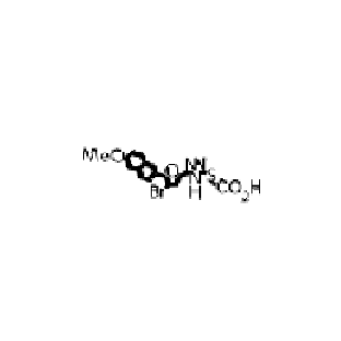 COc1ccc2cc(-c3oc(-c4nnc(SCC(=O)O)[nH]4)cc3Br)ccc2c1